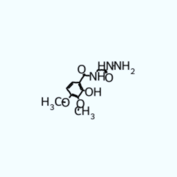 COc1ccc(C(=O)NCC(=O)NN)c(O)c1OC